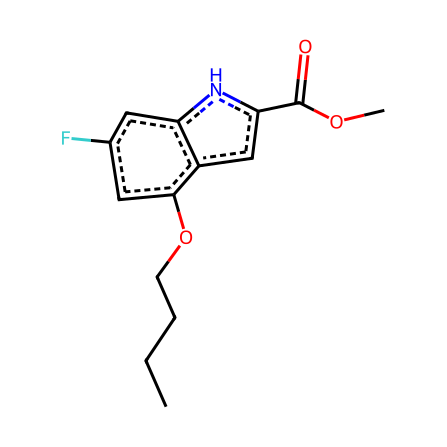 CCCCOc1cc(F)cc2[nH]c(C(=O)OC)cc12